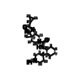 CC(C)N1CC=C(C2=CCCCC2NC(=O)N2CCC(C)(c3noc(C4CC4)n3)CC2)CC1